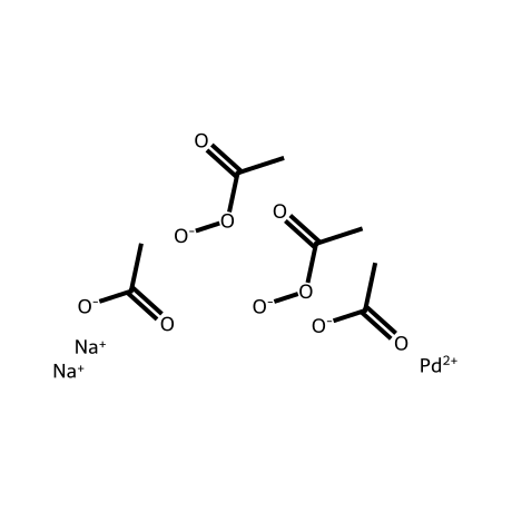 CC(=O)O[O-].CC(=O)O[O-].CC(=O)[O-].CC(=O)[O-].[Na+].[Na+].[Pd+2]